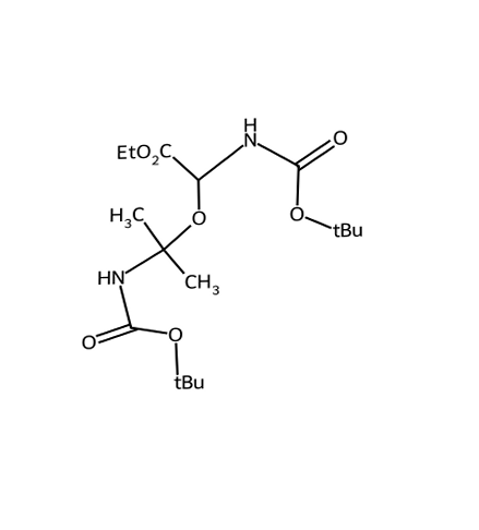 CCOC(=O)C(NC(=O)OC(C)(C)C)OC(C)(C)NC(=O)OC(C)(C)C